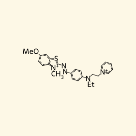 CCN(CC[n+]1ccccc1)c1ccc(/N=N/c2sc3cc(OC)ccc3[n+]2C)cc1